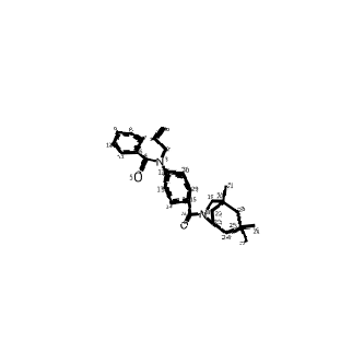 C=CCN(C(=O)c1ccccc1)c1ccc(C(=O)N2CC3(C)CC2CC(C)(C)C3)cc1